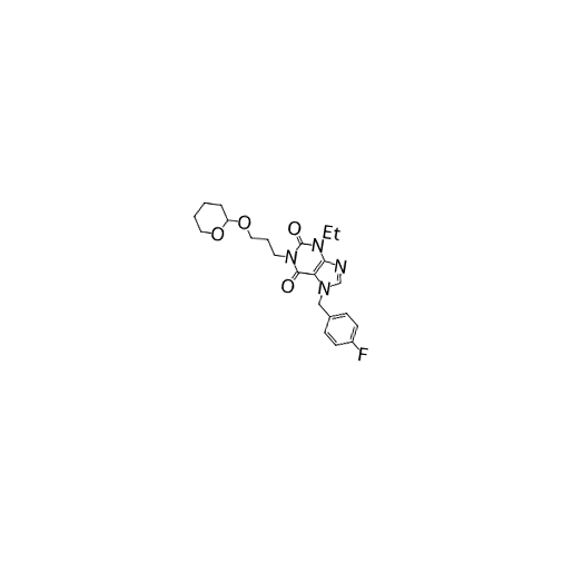 CCn1c(=O)n(CCCOC2CCCCO2)c(=O)c2c1ncn2Cc1ccc(F)cc1